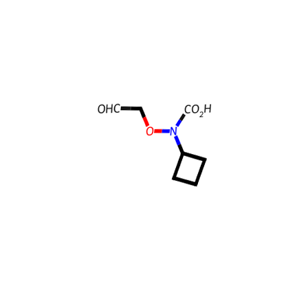 O=CCON(C(=O)O)C1CCC1